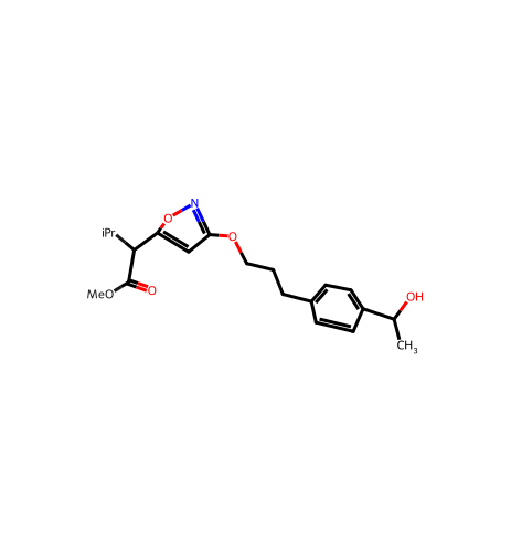 COC(=O)C(c1cc(OCCCc2ccc(C(C)O)cc2)no1)C(C)C